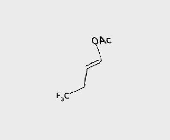 CC(=O)OC=CCC(F)(F)F